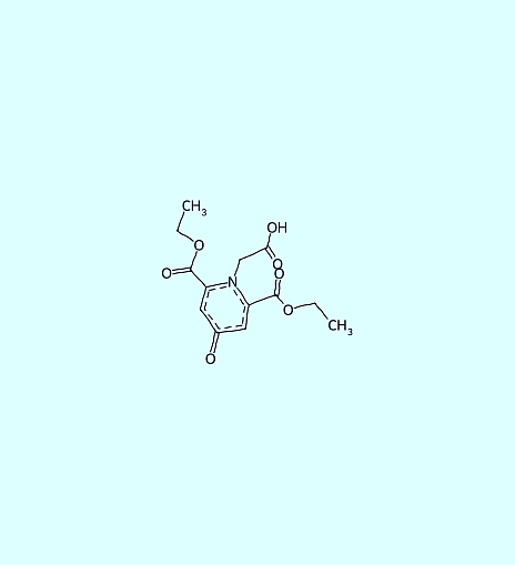 CCOC(=O)c1cc(=O)cc(C(=O)OCC)n1CC(=O)O